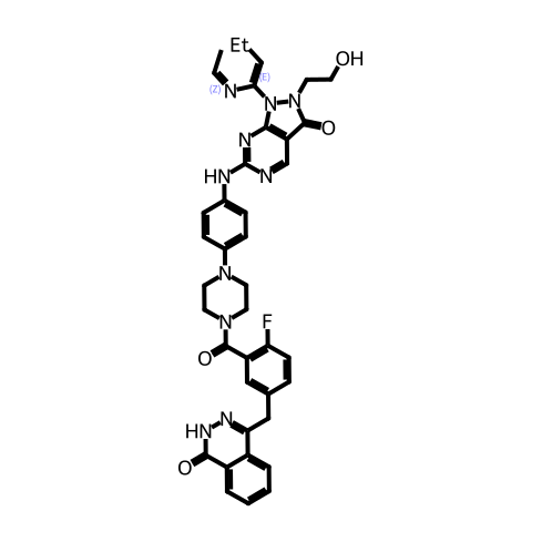 C/C=N\C(=C/CC)n1c2nc(Nc3ccc(N4CCN(C(=O)c5cc(Cc6n[nH]c(=O)c7ccccc67)ccc5F)CC4)cc3)ncc2c(=O)n1CCO